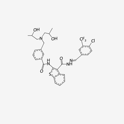 CC(O)CN(Cc1cccc(C(=O)Nc2sc3ccccc3c2C(=O)NN=Cc2ccc(Cl)c(C(F)(F)F)c2)c1)CC(C)O